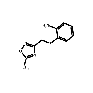 Cc1nc(CSc2ccccc2N)no1